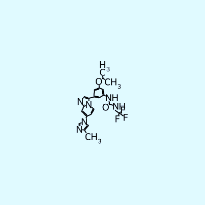 Cc1cn(-c2ccn3c(-c4cc(NC(=O)NCC(F)(F)F)cc(OC(C)C)c4)cnc3c2)cn1